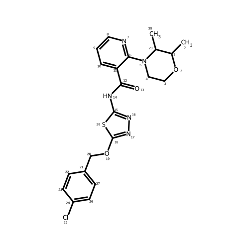 CC1OCCN(c2ncccc2C(=O)Nc2nnc(OCc3ccc(Cl)cc3)s2)C1C